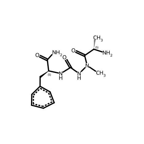 C[C@H](N)C(=O)N(C)NC(=O)N[C@@H](Cc1ccccc1)C(N)=O